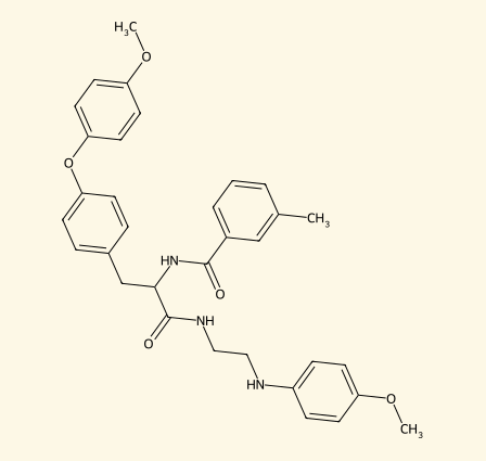 COc1ccc(NCCNC(=O)C(Cc2ccc(Oc3ccc(OC)cc3)cc2)NC(=O)c2cccc(C)c2)cc1